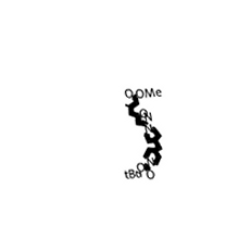 COC(=O)C[C@H](C)Cc1cc(N2CCC(CC3CCN(C(=O)OC(C)(C)C)CC3)CC2)no1